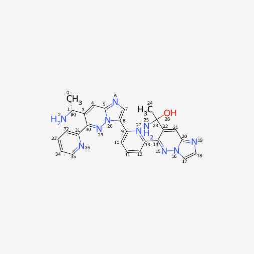 C[C@@H](N)c1cc2ncc(-c3cccc(-c4nn5ccnc5cc4C(C)(N)O)n3)n2nc1-c1ccccn1